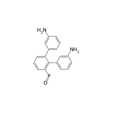 Nc1cccc(-c2cccc(P=O)c2-c2cccc(N)c2)c1